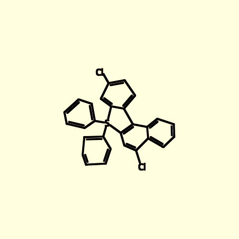 Clc1ccc2c(c1)S(c1ccccc1)(c1ccccc1)c1cc(Cl)c3ccccc3c1-2